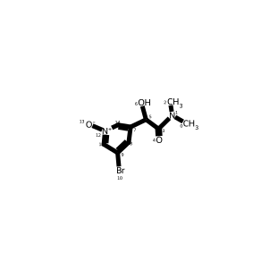 CN(C)C(=O)C(O)c1cc(Br)c[n+]([O-])c1